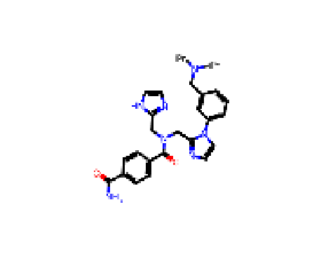 CC(C)N(Cc1cccc(-n2ccnc2CN(Cc2ncc[nH]2)C(=O)c2ccc(C(N)=O)cc2)c1)C(C)C